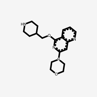 c1cnc2cc(N3CCOCC3)nc(OCC3CCNCC3)c2c1